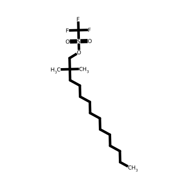 CCCCCCCCCCCCC(C)(C)COS(=O)(=O)C(F)(F)F